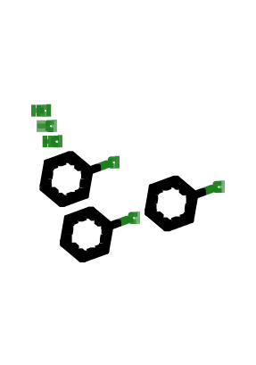 Cl.Cl.Cl.Clc1ccccc1.Clc1ccccc1.Clc1ccccc1